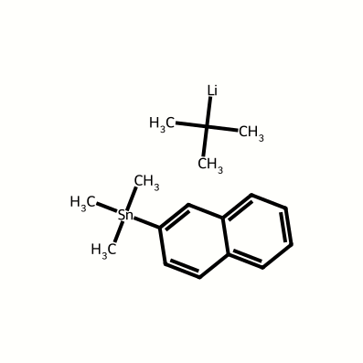 [CH3][Sn]([CH3])([CH3])[c]1ccc2ccccc2c1.[Li][C](C)(C)C